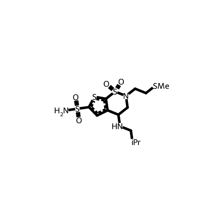 CSCCN1CC(NCC(C)C)c2cc(S(N)(=O)=O)sc2S1(=O)=O